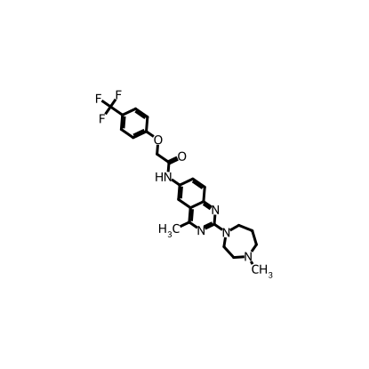 Cc1nc(N2CCCN(C)CC2)nc2ccc(NC(=O)COc3ccc(C(F)(F)F)cc3)cc12